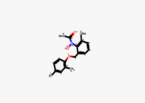 CCc1ccc(OCc2cccc(OC)c2N(O)C(=O)OC)c(C)c1